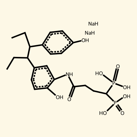 CCC(c1ccc(O)cc1)C(CC)c1ccc(O)c(NC(=O)CCC(P(=O)(O)O)P(=O)(O)O)c1.[NaH].[NaH]